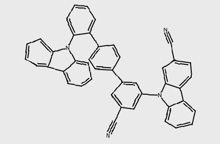 N#Cc1cc(-c2ccc(-c3ccccc3-n3c4ccccc4c4ccccc43)cc2)cc(-n2c3ccccc3c3ccc(C#N)cc32)c1